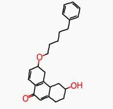 O=C1C=C2CCC(O)CC2C2=C1C=CC(OCCCCCc1ccccc1)C2